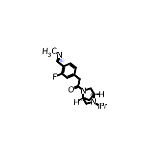 C/N=C/c1ccc(CC(=O)N2C[C@H]3C[C@@H]2CN3C(C)C)cc1F